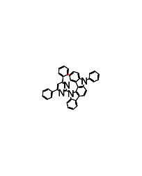 c1ccc(-c2cc(-c3ccccc3)nc(-n3c4ccccc4c4ccc5c(c6ccccc6n5-c5ccccc5)c43)n2)cc1